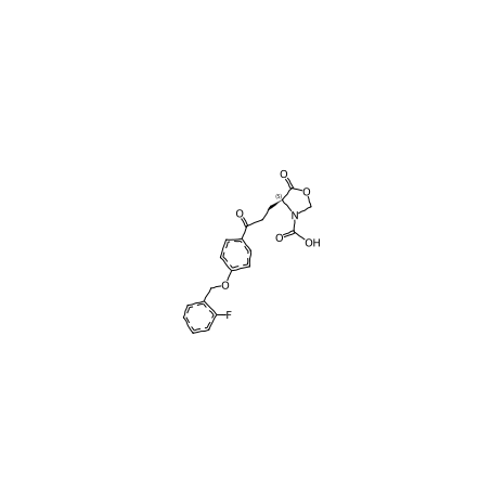 O=C(CC[C@H]1C(=O)OCN1C(=O)O)c1ccc(OCc2ccccc2F)cc1